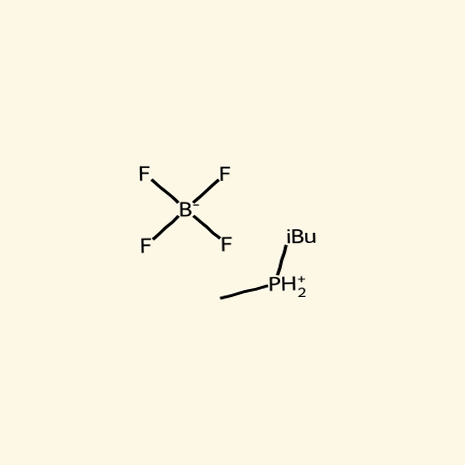 CCC(C)[PH2+]C.F[B-](F)(F)F